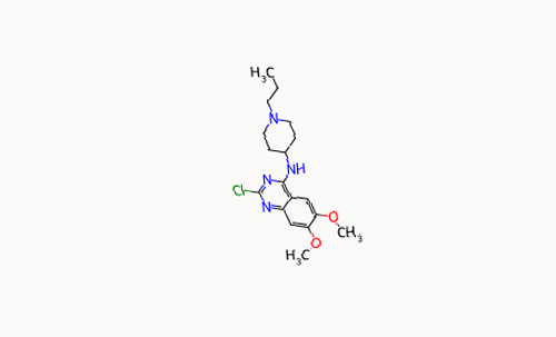 CCCN1CCC(Nc2nc(Cl)nc3cc(OC)c(OC)cc23)CC1